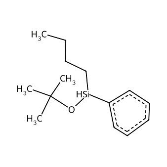 CCCC[SiH](OC(C)(C)C)c1ccccc1